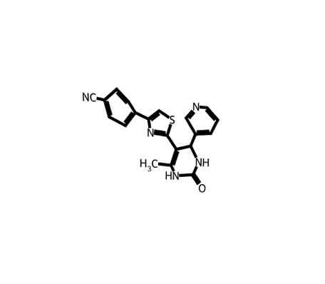 CC1=C(c2nc(-c3ccc(C#N)cc3)cs2)C(c2cccnc2)NC(=O)N1